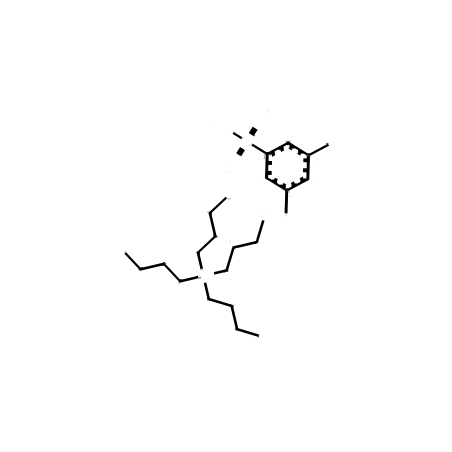 CCCC[P+](CCCC)(CCCC)CCCC.Cc1cc(C)cc(S(=O)(=O)[O-])c1